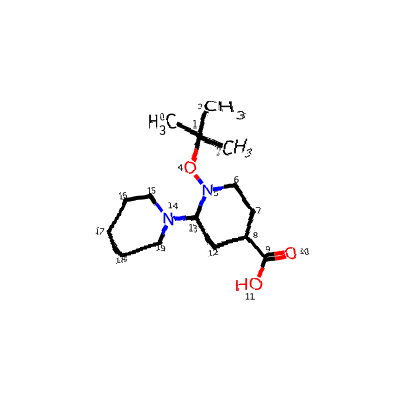 CC(C)(C)ON1CCC(C(=O)O)CC1N1CCCCC1